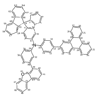 c1ccc(C2(c3ccc(N(c4ccc(-c5ccc6c7ccccc7c7ccccc7c6c5)cc4)c4cccc(-c5cccc6c5oc5ccccc56)c4)cc3)c3ccccc3-c3ccccc32)cc1